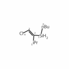 CCCC[SiH2]C(=CCl)C(C)C